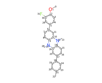 COc1ccc(-c2ccc3c(c2)N(C)c2ccc(-c4ccc(C)cc4)cc2N3C)cc1F